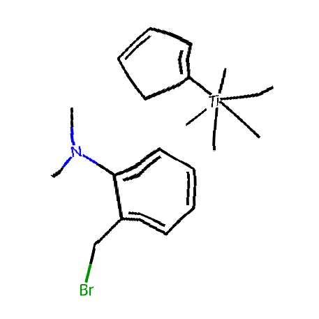 CN(C)c1ccccc1CBr.[CH3][Ti]([CH3])([CH3])([CH3])([CH3])[C]1=CC=CC1